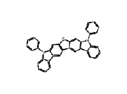 c1ccc(-n2c3ccccc3c3cc4c(cc32)sc2cc3c(cc24)c2ccccc2n3-c2ccccc2)cc1